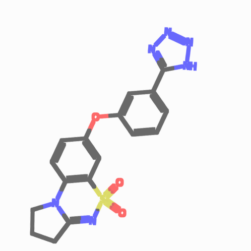 O=S1(=O)N=C2CCCN2c2ccc(Oc3cccc(-c4nnn[nH]4)c3)cc21